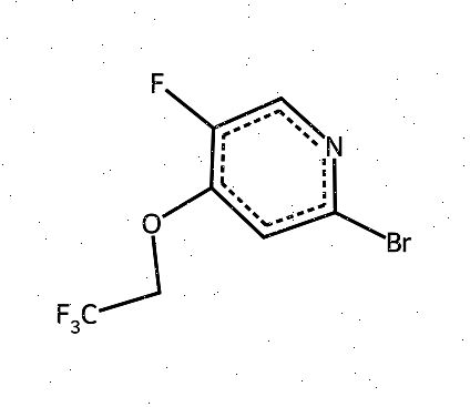 Fc1cnc(Br)cc1OCC(F)(F)F